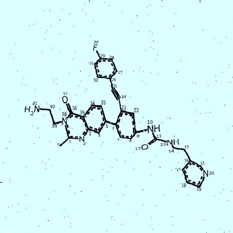 Cc1nc2cc(-c3ccc(NC(=O)NCCc4cccnc4)cc3C#Cc3ccc(F)cc3)ccc2c(=O)n1CCN